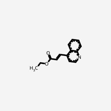 CCOC(=O)/C=C/c1ccnc2ccccc12